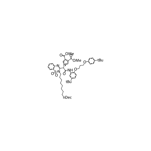 CCCCCCCCCCCCCCCCCCN1C(C(C(=O)Nc2cc(C(C)(C)C)ccc2OCCCOc2ccc(C(C)(C)C)cc2)n2cc(C(=O)OC)c(C(=O)OC)c2)=Nc2ccccc2S1(=O)=O